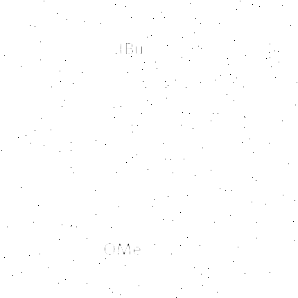 COc1ccc2c(c1)CCC2C(C)(C)C